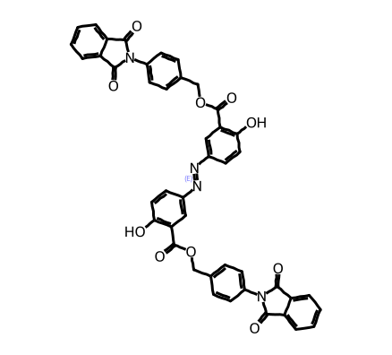 O=C(OCc1ccc(N2C(=O)c3ccccc3C2=O)cc1)c1cc(/N=N/c2ccc(O)c(C(=O)OCc3ccc(N4C(=O)c5ccccc5C4=O)cc3)c2)ccc1O